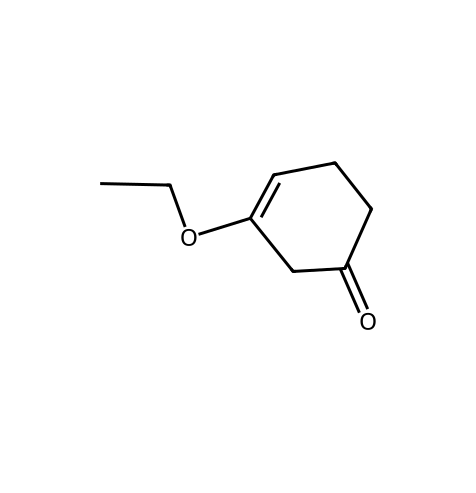 CCOC1=CCCC(=O)C1